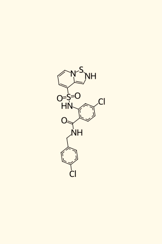 O=C(NCc1ccc(Cl)cc1)c1ccc(Cl)cc1NS(=O)(=O)C1=CC=CN2SNC=C12